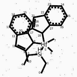 CC[SiH](CC)[Hf]([CH3])([CH3])([CH]1C(C)=Cc2ccccc21)[CH]1C(C)=Cc2ccccc21